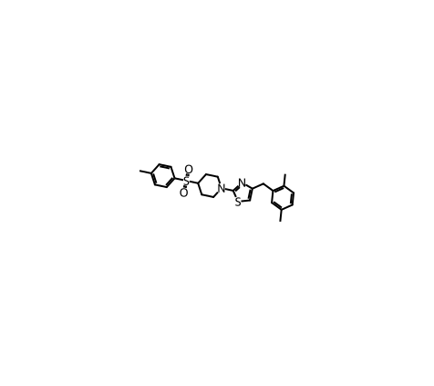 Cc1ccc(S(=O)(=O)C2CCN(c3nc(Cc4cc(C)ccc4C)cs3)CC2)cc1